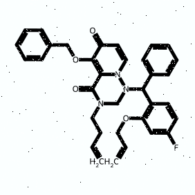 C=CCCN1CN(C(c2ccccc2)c2ccc(F)cc2OCC=C)n2ccc(=O)c(OCc3ccccc3)c2C1=O